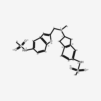 CN(Cc1cc2cc(NS(C)(=O)=O)ccc2o1)C1Cc2ccc(NS(C)(=O)=O)cc2C1